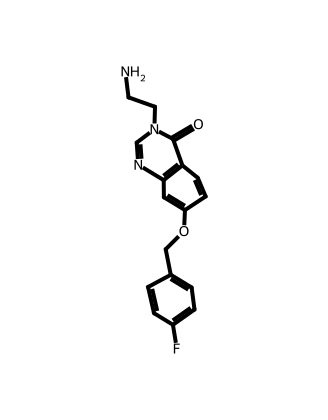 NCCn1cnc2cc(OCc3ccc(F)cc3)ccc2c1=O